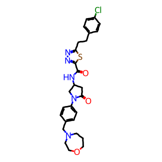 O=C(NC1CC(=O)N(c2ccc(CN3CCCOCC3)cc2)C1)c1nnc(CCc2ccc(Cl)cc2)s1